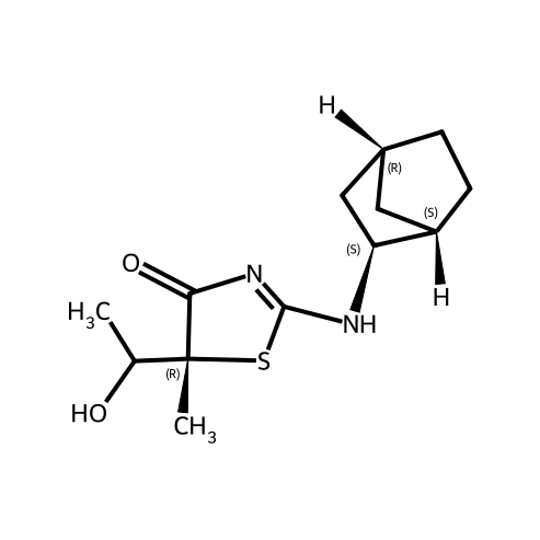 CC(O)[C@@]1(C)SC(N[C@H]2C[C@@H]3CC[C@H]2C3)=NC1=O